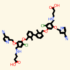 Cc1c(COc2cc(OCc3cc(C#N)ccn3)c(CNCCCC(=O)O)cc2Cl)cccc1-c1cccc(COc2cc(OCc3cc(C#N)ccn3)c(CNCCCC(=O)O)cc2Cl)c1C